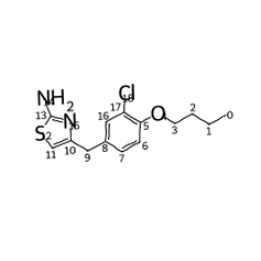 CCCCOc1ccc(Cc2csc(N)n2)cc1Cl